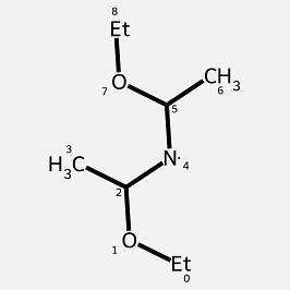 CCOC(C)[N]C(C)OCC